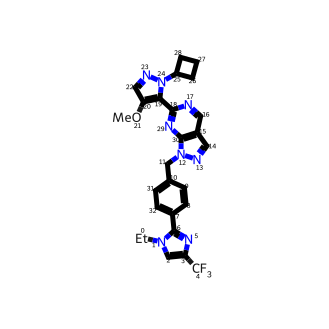 CCn1cc(C(F)(F)F)nc1-c1ccc(Cn2ncc3cnc(-c4c(OC)cnn4C4CCC4)nc32)cc1